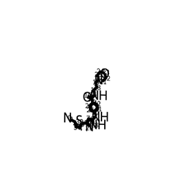 N#Cc1ccc(-c2cc(Nc3ccc(C(=O)NCCCN4CCOCC4)cc3)[nH]n2)s1